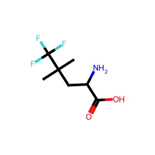 CC(C)(CC(N)C(=O)O)C(F)(F)F